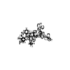 COC(=O)OCOP(=O)(OCOC(=O)OC)OCOc1c2n(ccc1=O)N([C@@H]1c3ccccc3SCc3c1ccc(F)c3F)CN(C13CC(C1)C3)C2=O